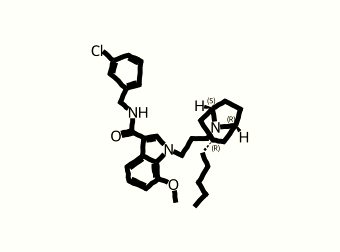 CCCCC[C@H]1C[C@H]2CC[C@@H](C1)N2CCCn1cc(C(=O)NCc2cccc(Cl)c2)c2cccc(OC)c21